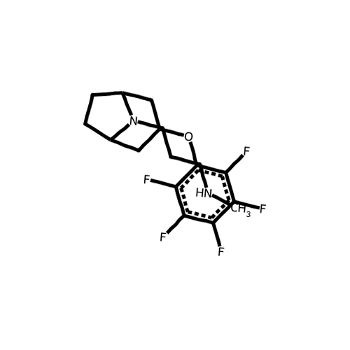 CNCCCN1C2CCC1CC(Oc1c(F)c(F)c(F)c(F)c1F)C2